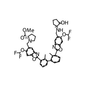 COC(=O)[C@@H]1CCCN1Cc1cc2nc(-c3cccc(-c4cccc(-c5nc6cc(CN[C@@H]7CCC[C@@H]7O)c(OC(F)F)cc6o5)c4C)c3C)oc2cc1OC(F)F